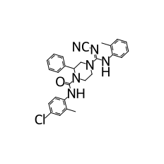 Cc1cc(Cl)ccc1NC(=O)N1CCN(/C(=N\C#N)Nc2ccccc2C)CC1c1ccccc1